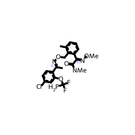 CNC(=O)/C(=N/OC)c1cccc(C)c1CO/N=C(\C)c1ccc(Cl)cc1OC(F)(F)P